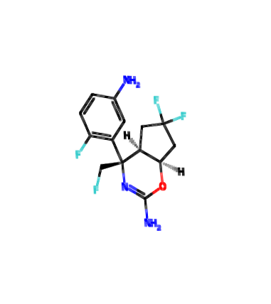 NC1=N[C@](CF)(c2cc(N)ccc2F)[C@H]2CC(F)(F)C[C@H]2O1